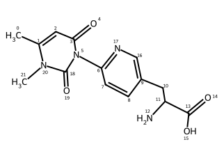 Cc1cc(=O)n(-c2ccc(CC(N)C(=O)O)cn2)c(=O)n1C